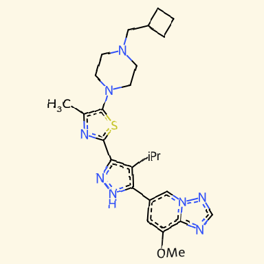 COc1cc(-c2[nH]nc(-c3nc(C)c(N4CCN(CC5CCC5)CC4)s3)c2C(C)C)cn2ncnc12